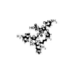 C=CCCC(=O)N(C)[C@@H](Cc1cscn1)C(=O)O[C@H]1[C@@H](O)[C@H](n2cnc3c(N)ncnc32)O[C@@H]1COP(=O)(O)OC1[C@@H](OC2CCCO2)[C@H](n2ccc(N)nc2=O)O[C@@H]1COP(=O)(O)O